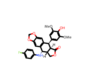 COc1cc([C@@H]2c3cc4c(cc3[C@@H](Nc3ccc(F)cc3)[C@H]3COC(=O)[C@H]23)OCO4)cc(OC)c1O